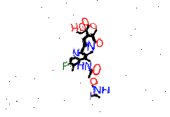 CC[C@@]1(O)C(=O)OCc2c1cc1n(c2=O)Cc2c-1nc1cc(F)c(C)cc1c2CNC(=O)COCNC(C)I